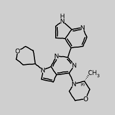 C[C@@H]1COCCN1c1nc(-c2ccnc3[nH]ccc23)nc2c1ccn2C1CCOCC1